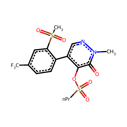 CCCS(=O)(=O)Oc1c(-c2ccc(C(F)(F)F)cc2S(C)(=O)=O)cnn(C)c1=O